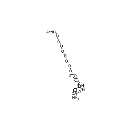 CC(=O)NCCOCCOCCOCCOCCOCCOCCOCCOCC(=O)N1CCc2cc(Cn3nc(-c4ccc5oc(N)nc5c4)c4c(N)ncnc43)ccc2C1